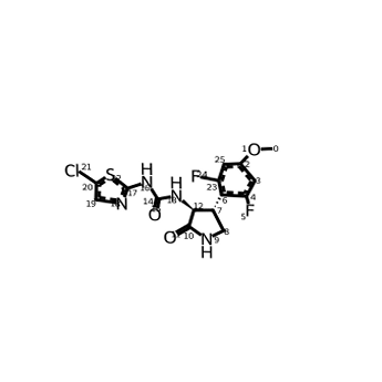 COc1cc(F)c([C@@H]2CNC(=O)[C@H]2NC(=O)Nc2ncc(Cl)s2)c(F)c1